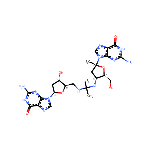 CC(C)(NC[C@H]1O[C@@H](n2cnc3c(=O)[nH]c(N)nc32)C[C@@H]1O)N[C@H]1C[C@](C)(n2cnc3c(=O)[nH]c(N)nc32)O[C@@H]1CO